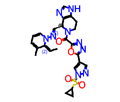 C/C=C1/C(C)=CC=CN1/N=C/[C@H]1c2nc[nH]c2CCN1C(=O)c1nnc(-c2cnn(S(=O)(=O)C3CC3)c2)o1